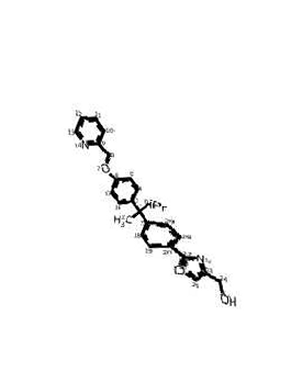 CC(C)C(C)(c1ccc(OCc2ccccn2)cc1)c1ccc(-c2nc(CO)co2)cc1